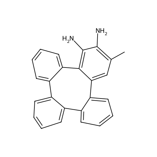 Cc1cc2c(c(N)c1N)-c1ccccc1-c1ccccc1-c1ccccc1-2